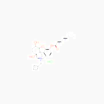 C/C=C/C=C/C(=O)Oc1ccc2c3c1OC1C(O)CCC4(O)C(C2)N(CC2CCC2)CCC314.Cl